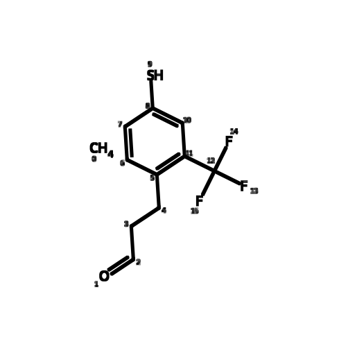 C.O=CCCc1ccc(S)cc1C(F)(F)F